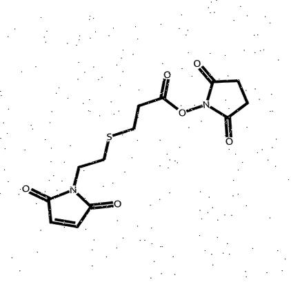 O=C(CCSCCN1C(=O)C=CC1=O)ON1C(=O)CCC1=O